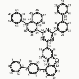 c1ccc(-c2ccc(-c3cccc4oc5cc(-c6nc(-c7cccc(-c8ccccc8)c7)nc(-c7ccc(-c8ccccc8)c8ccccc78)n6)ccc5c34)cc2)cc1